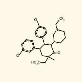 CC1(CC(=O)O)CC(c2cccc(Cl)c2)C(c2ccc(Cl)cc2)N(C2CCCN(CC(F)(F)F)C2)C1=O